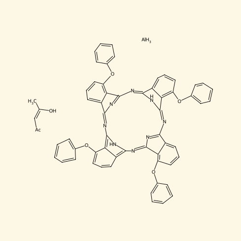 CC(=O)/C=C(/C)O.[AlH3].c1ccc(Oc2cccc3c2-c2nc-3nc3[nH]c(nc4nc(nc5[nH]c(n2)c2cccc(Oc6ccccc6)c52)-c2cccc(Oc5ccccc5)c2-4)c2cccc(Oc4ccccc4)c32)cc1